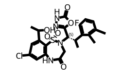 Cc1ccc(F)c(C(C)[C@@H](c2n[nH]c(=O)o2)N2CC(=O)Nc3cc(Cl)cc(C(C)O)c3S2(=O)=O)c1C